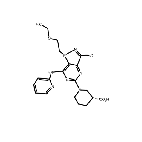 CCc1nn(CCOCC(F)(F)F)c2c(Nc3ccccn3)nc(N3CCC[C@@H](C(=O)O)C3)nc12